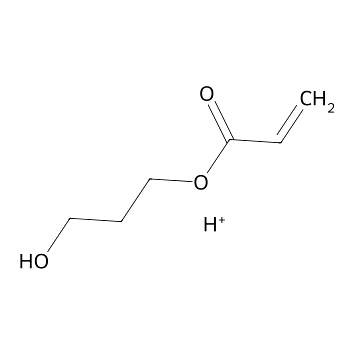 C=CC(=O)OCCCO.[H+]